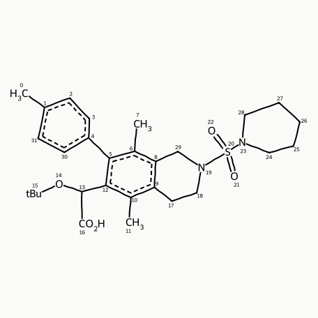 Cc1ccc(-c2c(C)c3c(c(C)c2C(OC(C)(C)C)C(=O)O)CCN(S(=O)(=O)N2CCCCC2)C3)cc1